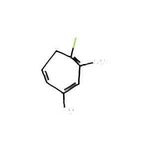 CNC1=C(F)CC=CC(OC)=C1